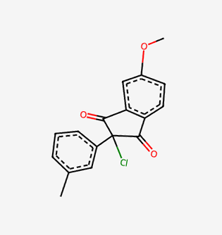 COc1ccc2c(c1)C(=O)C(Cl)(c1cccc(C)c1)C2=O